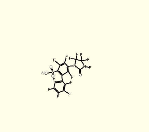 O=C1N(F)C(F)(F)C(F)(F)N1c1c(F)c(F)c(S(=O)(=O)O)c(-c2c(F)c(F)c(F)c(F)c2F)c1F